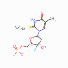 Cc1cn([C@H]2C[C@@](O)(F)[C@@H](COP(=O)([O-])[O-])O2)c(=S)[nH]c1=O.[Na+].[Na+]